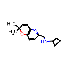 CC1(C)C=Cc2nc(CNC3CCC3)ccc2O1